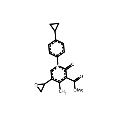 COC(=O)c1c(C)c(C2CO2)cn(-c2ccc(C3CC3)cc2)c1=O